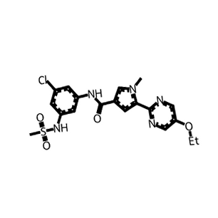 CCOc1cnc(-c2cc(C(=O)Nc3cc(Cl)cc(NS(C)(=O)=O)c3)cn2C)nc1